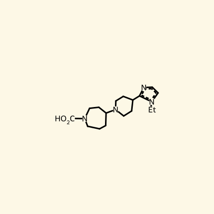 CCn1ccnc1C1CCN(C2CCCN(C(=O)O)CC2)CC1